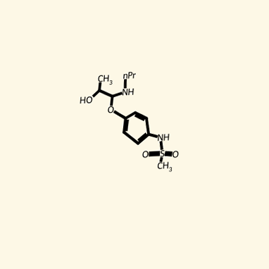 CCCNC(Oc1ccc(NS(C)(=O)=O)cc1)C(C)O